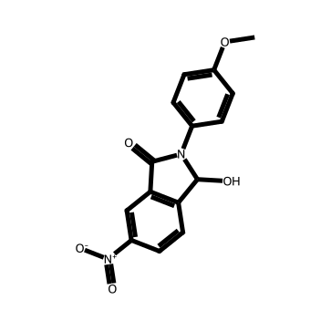 COc1ccc(N2C(=O)c3cc([N+](=O)[O-])ccc3C2O)cc1